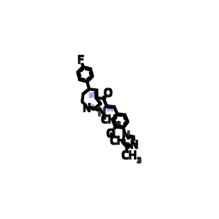 COc1cc(/C=C2/C(=O)/C3=C\C(c4ccc(F)cc4)CC/N=C(\C3)N2C)ccc1-n1cnc(C)c1